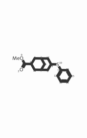 COC(=O)C1CC2CC(CC(Sc3ccccc3)C2)C1